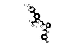 CC(=O)c1nn(CC(=O)N2CC=C[C@H]2C(=O)Nc2cccc(Br)n2)c2ccc(-c3cnc(C)nc3)cc12